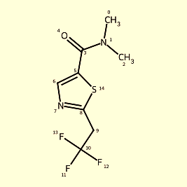 CN(C)C(=O)c1cnc(CC(F)(F)F)s1